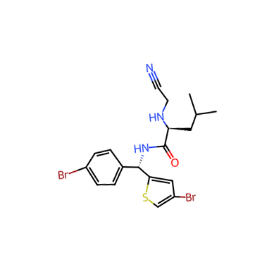 CC(C)C[C@H](NCC#N)C(=O)N[C@@H](c1ccc(Br)cc1)c1cc(Br)cs1